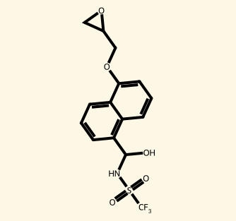 O=S(=O)(NC(O)c1cccc2c(OCC3CO3)cccc12)C(F)(F)F